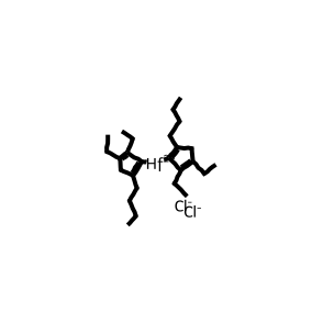 CCCCC1=[C]([Hf+2][C]2=C(CCCC)CC(CC)=C2CC)C(CC)=C(CC)C1.[Cl-].[Cl-]